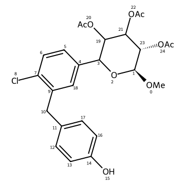 CO[C@H]1OC(c2ccc(Cl)c(Cc3ccc(O)cc3)c2)C(OC(C)=O)C(OC(C)=O)[C@@H]1OC(C)=O